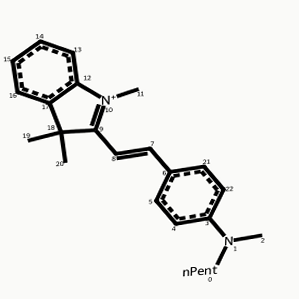 CCCCCN(C)c1ccc(/C=C/C2=[N+](C)c3ccccc3C2(C)C)cc1